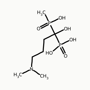 CN(C)CCCC(O)(P(C)(=O)O)P(=O)(O)O